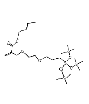 C=C(COCCOCCC[Si](O[Si](C)(C)C)(O[Si](C)(C)C)O[Si](C)(C)C)C(=O)OCCCC